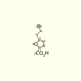 O=C(O)c1ccc(CCBr)o1